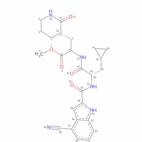 COC(=O)C(C[C@@H]1CCCNC1=O)NC(=O)[C@H](CC1CC1)NC(=O)c1cc2c(C#N)cccc2[nH]1